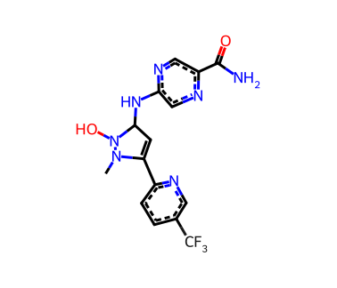 CN1C(c2ccc(C(F)(F)F)cn2)=CC(Nc2cnc(C(N)=O)cn2)N1O